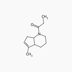 CCC(=O)N1CCCC2C(C)=CCC21